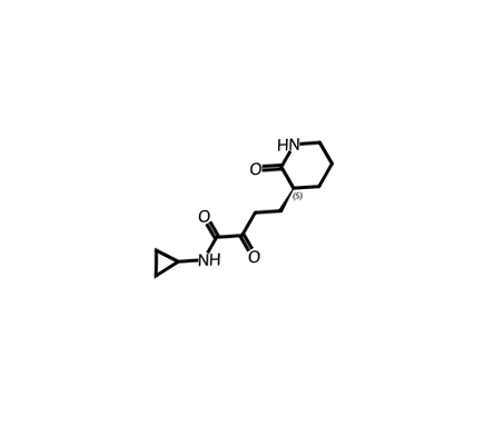 O=C(CC[C@@H]1CCCNC1=O)C(=O)NC1CC1